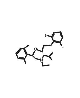 CCN(CC(C)C)CC(OCCCc1c(F)cccc1F)c1c(C)cccc1C